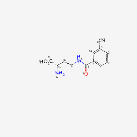 N#Cc1cccc(C(=O)NCC[C@H](N)C(=O)O)c1